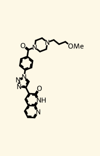 COCCCN1CCN(C(=O)c2ccc(-n3cc(-c4cc5cccnc5[nH]c4=O)nn3)cc2)CC1